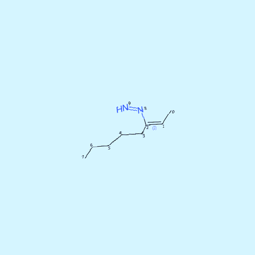 C/C=C(/CCCCC)N=N